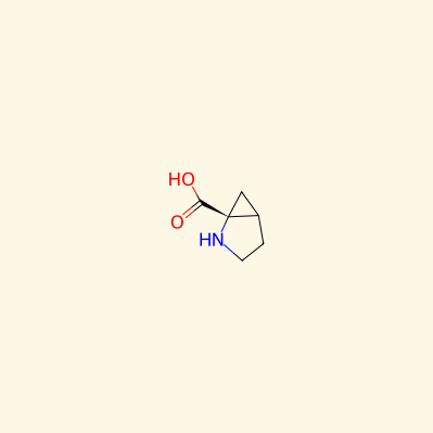 O=C(O)[C@@]12CC1CCN2